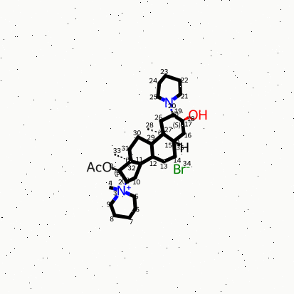 CC(=O)O[C@@H]1[C@@H]([N+]2(C)CCCCC2)CC2C3CC[C@H]4C[C@H](O)[C@@H](N5CCCCC5)C[C@]4(C)C3CC[C@@]21C.[Br-]